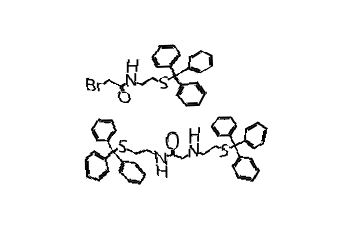 O=C(CBr)NCCSC(c1ccccc1)(c1ccccc1)c1ccccc1.O=C(CNCCSC(c1ccccc1)(c1ccccc1)c1ccccc1)NCCSC(c1ccccc1)(c1ccccc1)c1ccccc1